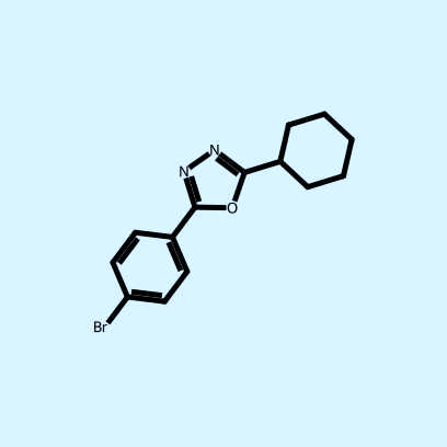 Brc1ccc(-c2nnc(C3CCCCC3)o2)cc1